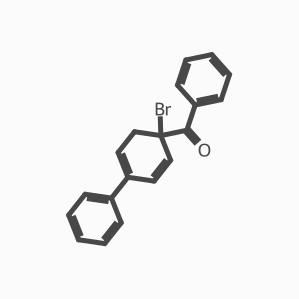 O=C(c1ccccc1)C1(Br)C=CC(c2ccccc2)=CC1